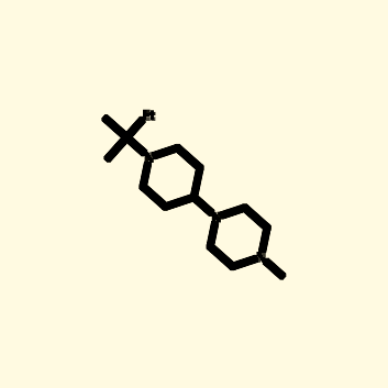 CCC(C)(C)N1CCC(N2CCN(C)CC2)CC1